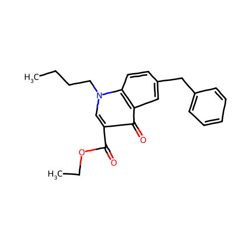 CCCCn1cc(C(=O)OCC)c(=O)c2cc(Cc3ccccc3)ccc21